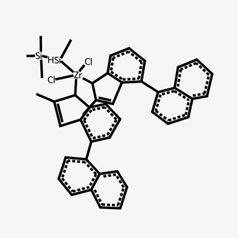 CC1=Cc2c(-c3cccc4ccccc34)cccc2[CH]1[Zr]([Cl])([Cl])([CH]1C(C)=Cc2c(-c3cccc4ccccc34)cccc21)[SiH](C)[Si](C)(C)C